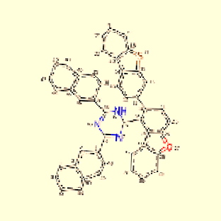 c1ccc2cc(C3=NC(c4c(-c5ccc6c(c5)sc5ccccc56)ccc5oc6ccccc6c45)NC(c4ccc5ccccc5c4)=N3)ccc2c1